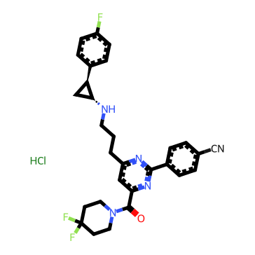 Cl.N#Cc1ccc(-c2nc(CCCN[C@@H]3C[C@H]3c3ccc(F)cc3)cc(C(=O)N3CCC(F)(F)CC3)n2)cc1